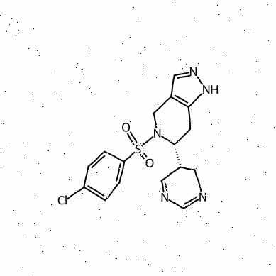 O=S(=O)(c1ccc(Cl)cc1)N1Cc2cn[nH]c2C[C@@H]1C1C=NC=NC1